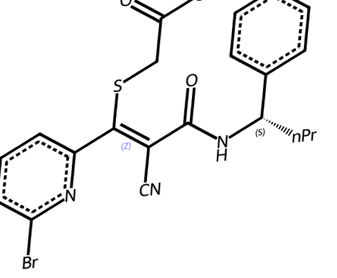 CCC[C@H](NC(=O)/C(C#N)=C(\SCC(=O)OC)c1cccc(Br)n1)c1ccccc1